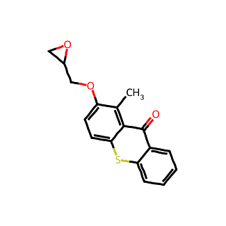 Cc1c(OCC2CO2)ccc2sc3ccccc3c(=O)c12